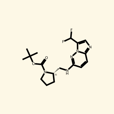 CC(C)(C)OC(=O)N1CCC[C@H]1CNc1ccc2ncc(C(F)F)n2n1